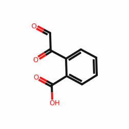 O=CC(=O)c1ccccc1C(=O)O